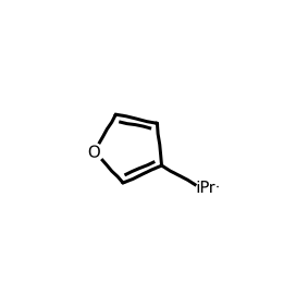 C[C](C)c1ccoc1